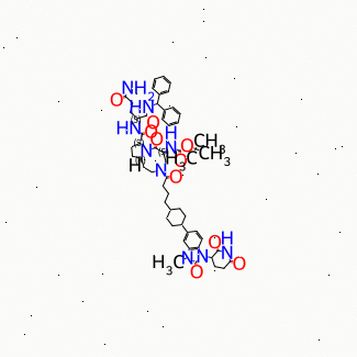 Cn1c(=O)n(C2CCC(=O)NC2=O)c2ccc(C3CCC(CCCC(=O)N4CC[C@H]5CC[C@@H](C(=O)N[C@@H](CCC(N)=O)C(=O)NC(c6ccccc6)c6ccccc6)N5C(=O)[C@@H](NC(=O)OC(C)(C)C)C4)CC3)cc21